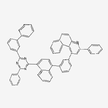 c1ccc(-c2cccc(-c3nc(-c4ccccc4)nc(-c4ccc(-c5cccc(-c6cc(-c7ccccc7)nc7ccc8ccccc8c67)c5)c5ccccc45)n3)c2)cc1